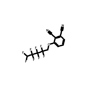 N#Cc1cccc(OCC(F)(F)C(F)(F)C(F)(F)C(F)F)c1C#N